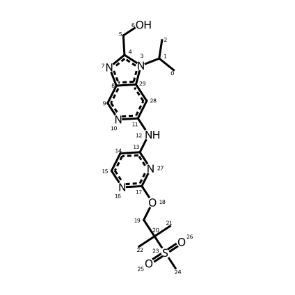 CC(C)n1c(CO)nc2cnc(Nc3ccnc(OCC(C)(C)S(C)(=O)=O)n3)cc21